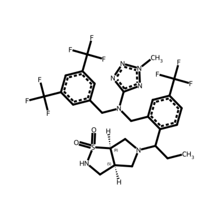 CCC(c1ccc(C(F)(F)F)cc1CN(Cc1cc(C(F)(F)F)cc(C(F)(F)F)c1)c1nnn(C)n1)N1C[C@H]2CNS(=O)(=O)[C@H]2C1